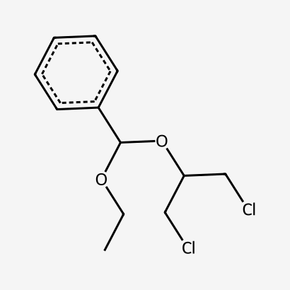 CCOC(OC(CCl)CCl)c1ccccc1